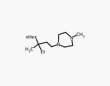 CCCCCCC(C)(CC)CCN1CCN(C)CC1